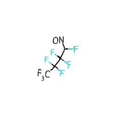 O=NC(F)C(F)(F)C(F)(F)C(F)(F)F